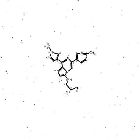 Cc1ccc(-c2cn3c(NC[C@H](O)C(F)(F)F)nnc3c(-c3cnn(C)c3)n2)cc1